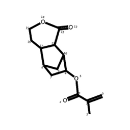 C=C(C)C(=O)OC1CC2CC1C1C(=O)OCCC21